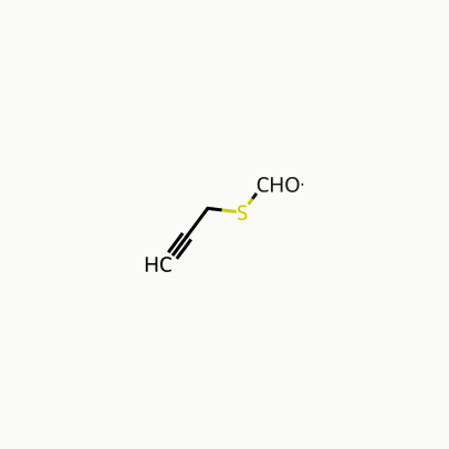 C#CCS[C]=O